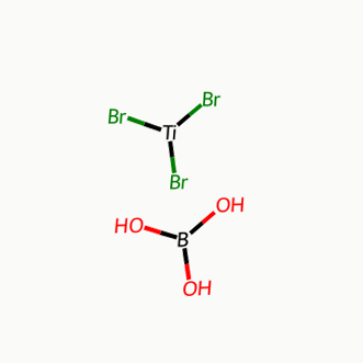 OB(O)O.[Br][Ti]([Br])[Br]